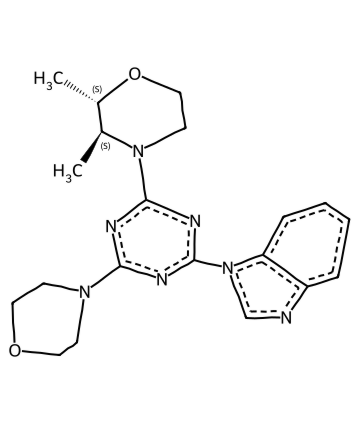 C[C@@H]1OCCN(c2nc(N3CCOCC3)nc(-n3cnc4ccccc43)n2)[C@H]1C